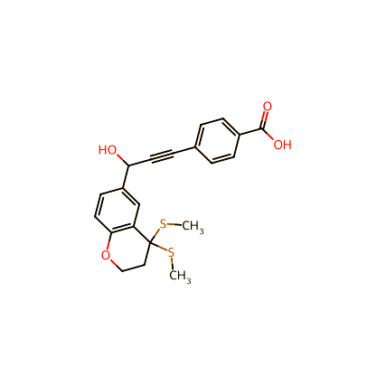 CSC1(SC)CCOc2ccc(C(O)C#Cc3ccc(C(=O)O)cc3)cc21